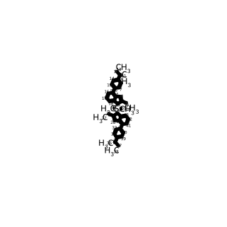 CCC1=Cc2c(-c3ccc(C(C)CC)cc3)cccc2C1[Si](C)(C)C1C(CC)=Cc2c(-c3ccc(C(C)CC)cc3)cccc21